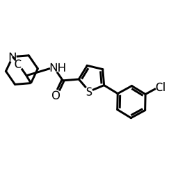 O=C(NC1CN2CCC1CC2)c1ccc(-c2cccc(Cl)c2)s1